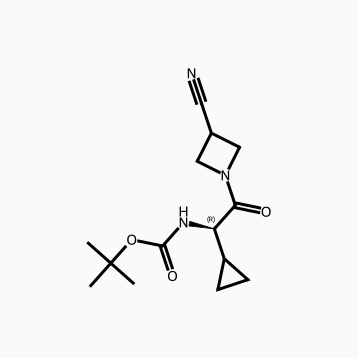 CC(C)(C)OC(=O)N[C@@H](C(=O)N1CC(C#N)C1)C1CC1